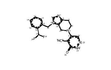 N#Cc1c(N2CCc3ncn(Cc4ccccc4C(F)F)c3C2)cn[nH]c1=O